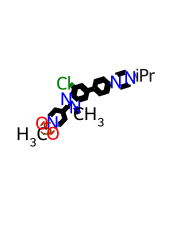 CC(C)N1CCN(c2ccc(-c3cc(Cl)c4nc(C5CCN(S(C)(=O)=O)CC5)n(C)c4c3)cc2)CC1